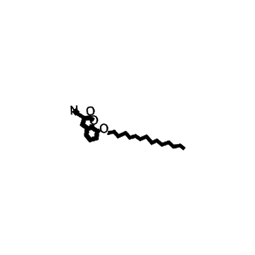 CCCCCCCCCCCCCCCOc1cccc2cc(C#N)c(=O)oc12